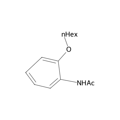 [CH2]C(=O)Nc1ccccc1OCCCCCC